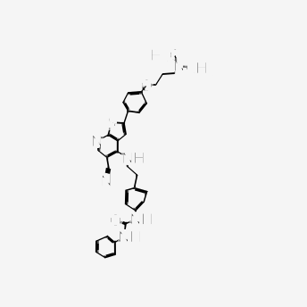 CN(C)CCCOc1ccc(-c2cc3c(NCCc4ccc(NC(=O)Nc5ccccc5)cc4)c(C#N)cnc3s2)cc1